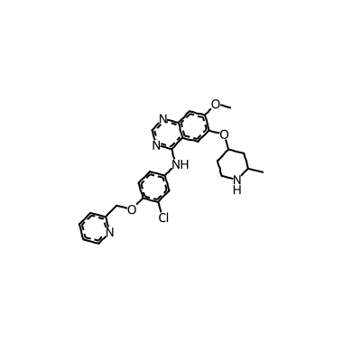 COc1cc2ncnc(Nc3ccc(OCc4ccccn4)c(Cl)c3)c2cc1OC1CCNC(C)C1